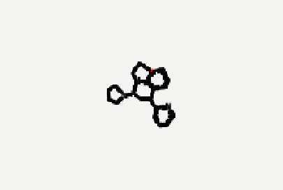 C(=C(c1ccccn1)c1ccccn1)P(N1CCCC1)N1CCCC1